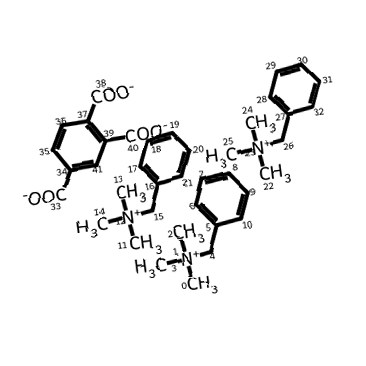 C[N+](C)(C)Cc1ccccc1.C[N+](C)(C)Cc1ccccc1.C[N+](C)(C)Cc1ccccc1.O=C([O-])c1ccc(C(=O)[O-])c(C(=O)[O-])c1